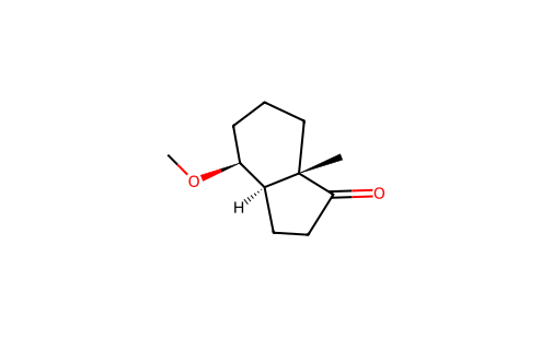 CO[C@H]1CCC[C@]2(C)C(=O)CC[C@@H]12